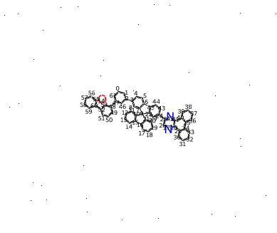 c1cc(-c2ccc3c(c2)C2(c4ccccc4-c4ccccc42)c2cc(-c4cnc5c6ccccc6c6ccccc6c5n4)ccc2-3)cc(-c2cccc3c2oc2ccccc23)c1